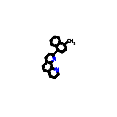 Cc1ccc(-c2ccc3ccc4cccnc4c3n2)c2ccccc12